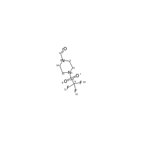 O=CN1CCN(S(=O)(=O)C(F)(F)F)CC1